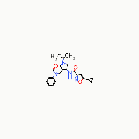 CC(C)N1CC(CN(C=O)c2ccccc2)C(NC(=O)c2cc(C3CC3)on2)C1